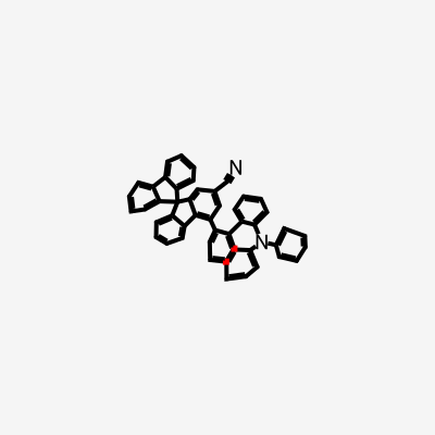 N#Cc1cc(-c2ccccc2-c2ccccc2N(c2ccccc2)c2ccccc2)c2c(c1)C1(c3ccccc3-c3ccccc31)c1ccccc1-2